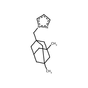 CC12CC3CC(C)(C1)CC(Cn1cccn1)(C3)C2